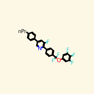 CCCc1ccc(-c2cnc(-c3ccc(C(F)(F)Oc4cc(F)c(F)c(F)c4)cc3)c(F)c2)cc1